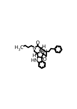 CCCCN1C[C@H]2C3Nc4ccccc4C34OC3C[C@@H](C1=O)N2C34NCCc1ccccc1